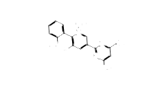 Cc1ccccc1-c1c(F)cc(-c2nc(C(C)C)cc(C(C)C)n2)c[n+]1C